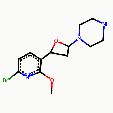 COc1nc(Br)ccc1C1CC(N2CCNCC2)O1